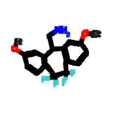 CCOc1ccc2c(c1)C(CN)c1cc(OCC)ccc1C(F)(F)C2(F)F